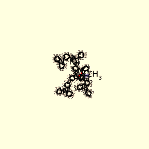 C=Cc1c(/C=C\C)c2ccccc2n1-c1cc(-c2nc(-c3ccccc3)nc(-c3cccc(-n4c5ccccc5c5ccccc54)c3)n2)ccc1-n1c2ccc(-c3ccc4c(c3)c3ccccc3n4-c3ccccc3)cc2c2cc(-c3cccc4c3c3ccccc3n4-c3ccccc3)ccc21